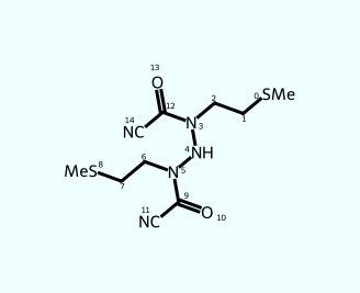 CSCCN(NN(CCSC)C(=O)C#N)C(=O)C#N